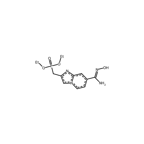 CCOP(=O)(Cc1cn2ccc(C(N)=NO)cc2n1)OCC